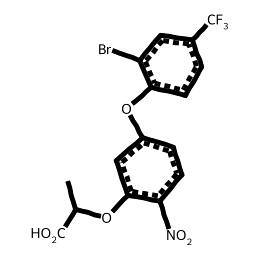 CC(Oc1cc(Oc2ccc(C(F)(F)F)cc2Br)ccc1[N+](=O)[O-])C(=O)O